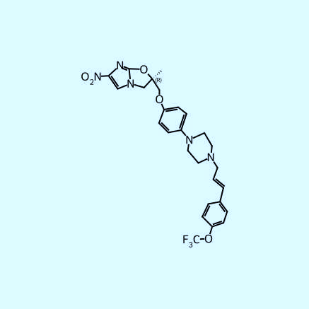 C[C@]1(COc2ccc(N3CCN(CC=Cc4ccc(OC(F)(F)F)cc4)CC3)cc2)Cn2cc([N+](=O)[O-])nc2O1